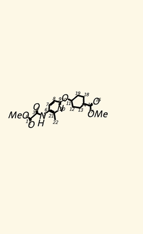 COC(=O)C(=O)Nc1ccc(OC2CCC(C(=O)OC)CC2)nc1C